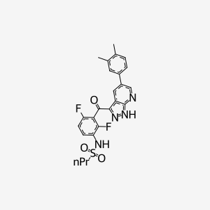 CCCS(=O)(=O)Nc1ccc(F)c(C(=O)c2n[nH]c3ncc(-c4ccc(C)c(C)c4)cc23)c1F